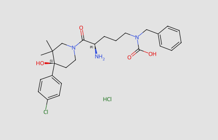 CC1(C)CN(C(=O)[C@H](N)CCCN(Cc2ccccc2)C(=O)O)CC[C@]1(O)c1ccc(Cl)cc1.Cl